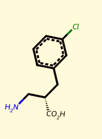 NC[C@H](Cc1cccc(Cl)c1)C(=O)O